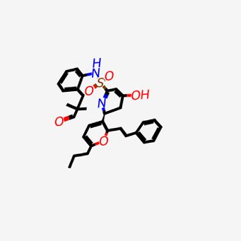 CCCC1=CC=C([C@@H]2CC(O)=CC(S(=O)(=O)Nc3ccccc3CC(C)(C)C=O)=N2)C(CCc2ccccc2)O1